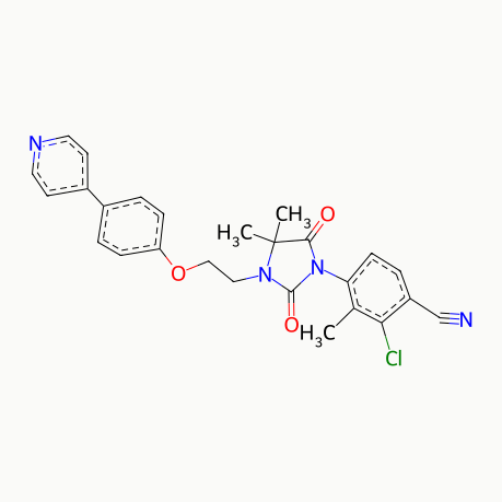 Cc1c(N2C(=O)N(CCOc3ccc(-c4ccncc4)cc3)C(C)(C)C2=O)ccc(C#N)c1Cl